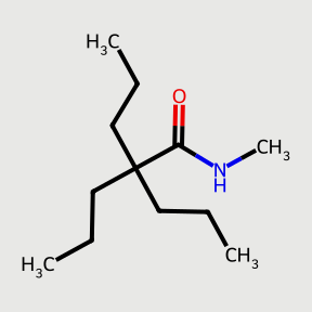 CCCC(CCC)(CCC)C(=O)NC